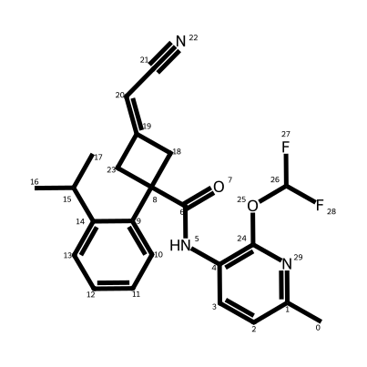 Cc1ccc(NC(=O)C2(c3ccccc3C(C)C)CC(=CC#N)C2)c(OC(F)F)n1